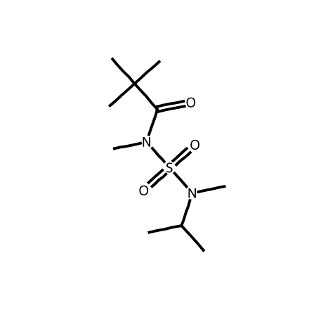 CC(C)N(C)S(=O)(=O)N(C)C(=O)C(C)(C)C